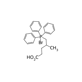 CC(CCC(=O)O)CP(Br)(c1ccccc1)(c1ccccc1)c1ccccc1